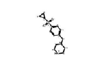 O=S(=O)(c1ccc(CC2CCNCC2)cc1)C1CC1